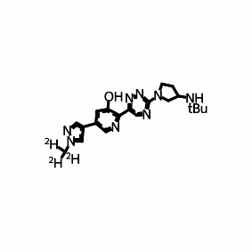 [2H]C([2H])([2H])n1cc(-c2cnc(-c3cnc(N4CCC(NC(C)(C)C)C4)nn3)c(O)c2)cn1